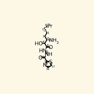 CC(C)SCC[C@@H](N)C(O)C(=O)NNC(=O)c1nccs1